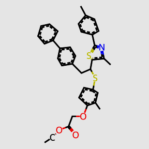 CCOC(=O)COc1ccc(SC(Cc2ccc(-c3ccccc3)cc2)c2sc(-c3ccc(C)cc3)nc2C)cc1C